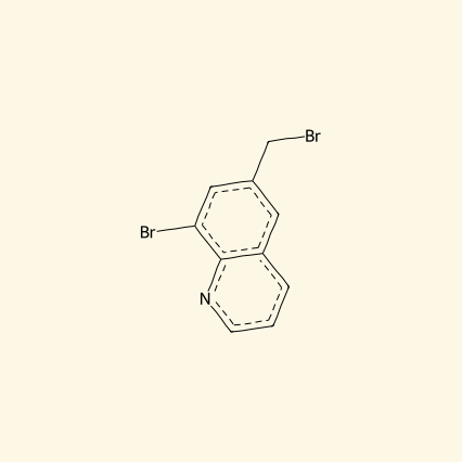 BrCc1cc(Br)c2ncccc2c1